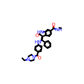 CCNC(=O)c1ccc2c(c1)NC(=O)/C2=C(\Nc1ccc(C(=O)N2CCN(CC)CC2)cc1)c1ccccc1